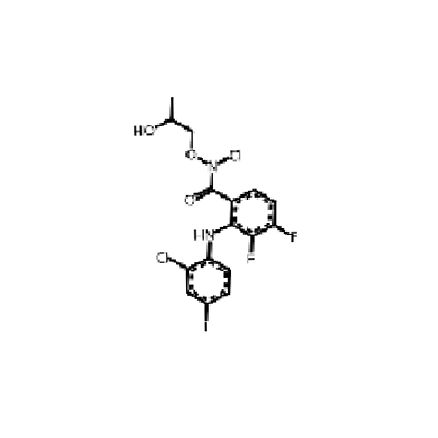 CC(O)CON(Cl)C(=O)c1ccc(F)c(F)c1Nc1ccc(I)cc1Cl